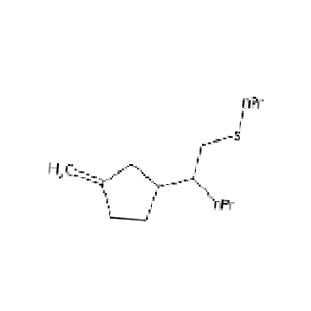 C=C1CCC(C(CCC)CSCCC)C1